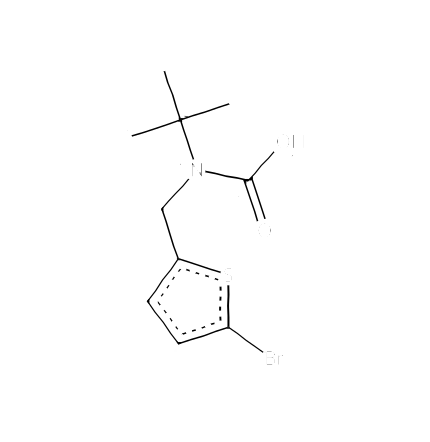 CC(C)(C)N(Cc1ccc(Br)s1)C(=O)O